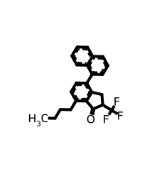 CCCCc1ccc(-c2cccc3ccccc23)c2c1C(=O)C(C(F)(F)F)C2